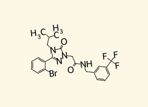 CC(C)Cn1c(-c2ccccc2Br)nn(CC(=O)NCc2cccc(C(F)(F)F)c2)c1=O